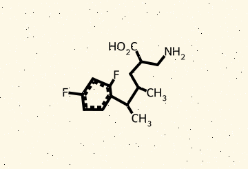 CC(CC(CN)C(=O)O)C(C)c1ccc(F)cc1F